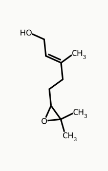 CC(=CCO)CCC1OC1(C)C